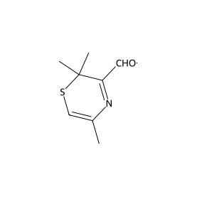 CC1=CSC(C)(C)C([C]=O)=N1